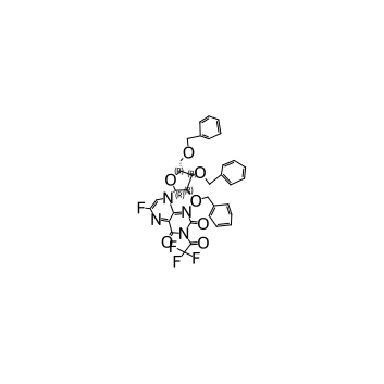 O=C(n1c(=O)nc2n([C@@H]3O[C@H](COCc4ccccc4)[C@@H](OCc4ccccc4)[C@H]3OCc3ccccc3)cc(F)nc-2c1=O)C(F)(F)F